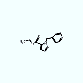 CCOC(=O)c1ccnn1Cc1ccncc1